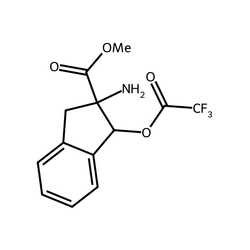 COC(=O)C1(N)Cc2ccccc2C1OC(=O)C(F)(F)F